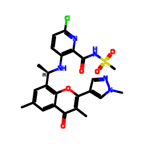 Cc1cc([C@@H](C)Nc2ccc(Cl)nc2C(=O)NS(C)(=O)=O)c2oc(-c3cnn(C)c3)c(C)c(=O)c2c1